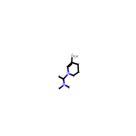 CC(N(C)C)N1C=C(C(=O)O)CCC1